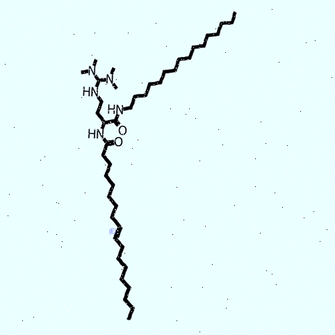 CCCCCCCC/C=C/CCCCCCCC(=O)NC(CCNC(N(C)C)N(C)C)C(=O)NCCCCCCCCCCCCCCCC